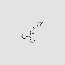 CN1C=CC(COC2CN(C(c3ccccc3)c3ccccc3)C2)C1